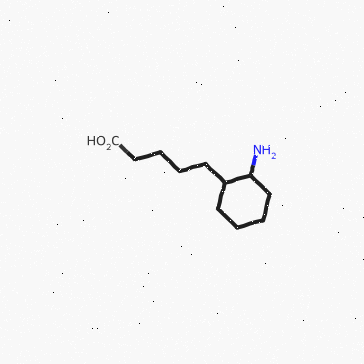 NC1CCCCC1CCCCC(=O)O